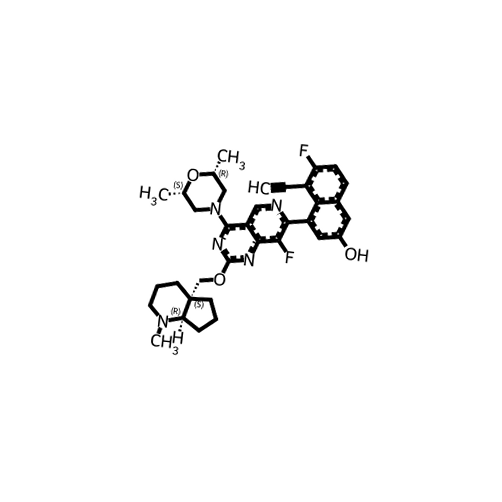 C#Cc1c(F)ccc2cc(O)cc(-c3ncc4c(N5C[C@@H](C)O[C@@H](C)C5)nc(OC[C@]56CCC[C@H]5N(C)CCC6)nc4c3F)c12